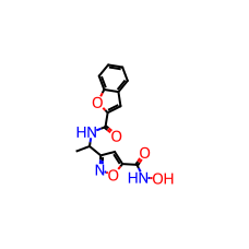 CC(NC(=O)c1cc2ccccc2o1)c1cc(C(=O)NO)on1